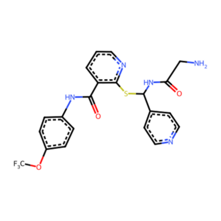 NCC(=O)NC(Sc1ncccc1C(=O)Nc1ccc(OC(F)(F)F)cc1)c1ccncc1